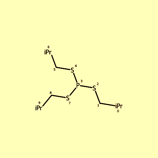 CC(C)CSP(SCC(C)C)SCC(C)C